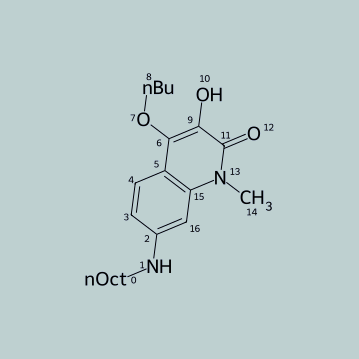 CCCCCCCCNc1ccc2c(OCCCC)c(O)c(=O)n(C)c2c1